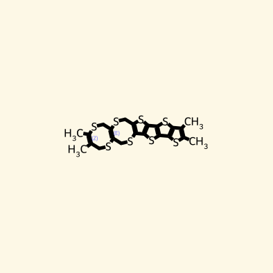 C/C1=C(\C)SC/C2=C(/CSc3c(sc4c3sc3c5sc(C)c(C)c5sc43)CS2)SC1